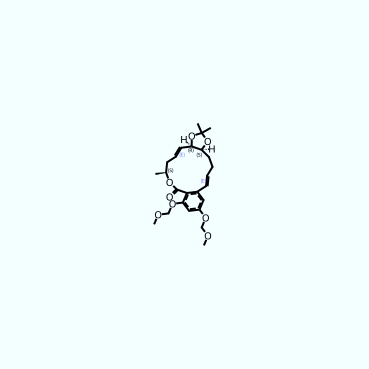 COCOc1cc2c(c(OCOC)c1)C(=O)O[C@@H](C)C/C=C/[C@H]1OC(C)(C)O[C@H]1CC/C=C/2